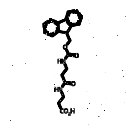 O=C(O)CCNC(=O)CCNC(=O)OCC1c2ccccc2-c2ccccc21